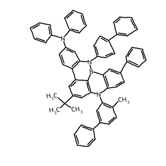 Cc1ccc(-c2ccccc2)cc1N1c2ccc(-c3ccccc3)cc2B2c3c(cc(C(C)(C)C)cc31)-c1ccc(N(c3ccccc3)c3ccccc3)cc1N2c1ccc(-c2ccccc2)cc1